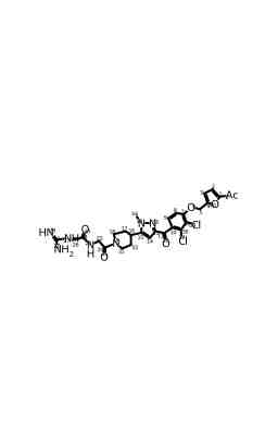 CC(=O)c1ccc(COc2ccc(C(=O)c3cc(C4CCN(C(=O)CNC(=O)CNC(=N)N)CC4)n(C)n3)c(Cl)c2Cl)o1